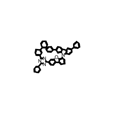 c1ccc(-c2cccc(-c3nc(-c4ccccc4)nc(-c4ccc5c(c4)oc4c(-n6c7ccc(-c8ccccc8)cc7c7ccc(-c8ccccc8)cc76)cccc45)n3)c2)cc1